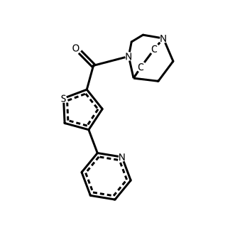 O=C(c1cc(-c2ccccn2)cs1)N1CCN2CCC1CC2